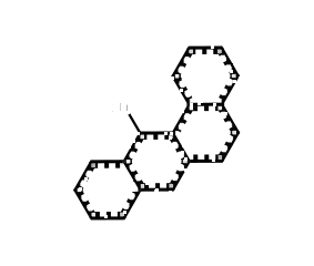 [Sn][c]1c2ccccc2cc2ccc3ccccc3c12